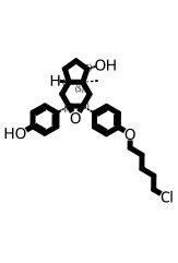 C[C@]12C[C@@]3(c4ccc(OCCCCCCl)cc4)O[C@@]3(c3ccc(O)cc3)C[C@@H]1CC[C@@H]2O